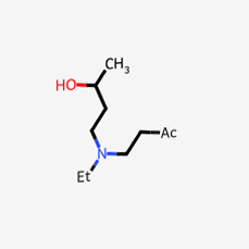 CCN(CCC(C)=O)CCC(C)O